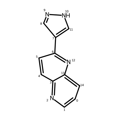 c1cnc2ccc(-c3cn[nH]c3)nc2c1